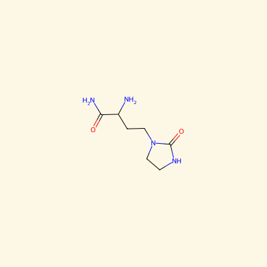 NC(=O)C(N)CCN1CCNC1=O